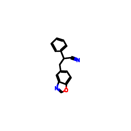 N#CC(Cc1ccc2ocnc2c1)c1ccccc1